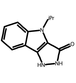 CC(C)n1c2ccccc2c2[nH][nH]c(=O)c21